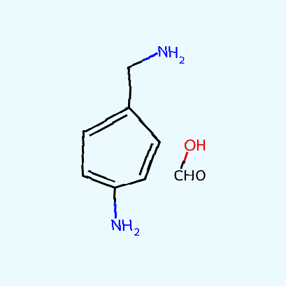 NCc1ccc(N)cc1.O=CO